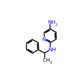 CC(Nc1ccc(N)cn1)c1ccccc1